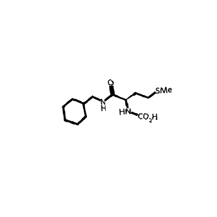 CSCC[C@@H](NC(=O)O)C(=O)NCC1CCCCC1